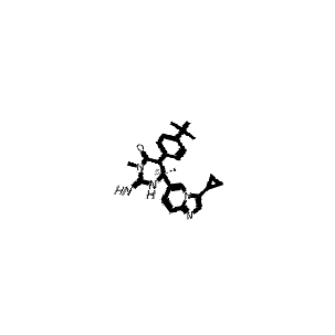 CN1C(=N)N[C@](C)(c2ccc3ncc(C4CC4)n3c2)C(c2ccc(C(C)(C)C)cc2)C1=O